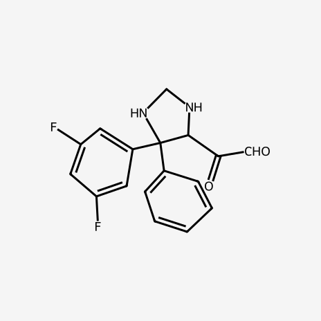 O=CC(=O)C1NCNC1(c1ccccc1)c1cc(F)cc(F)c1